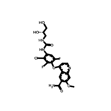 COc1cc2nccc(Oc3c(F)cc(NC(=O)NC[C@H](O)CO)c(Cl)c3F)c2cc1C(N)=O